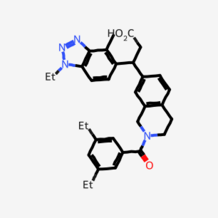 CCc1cc(CC)cc(C(=O)N2CCc3ccc(C(CC(=O)O)c4ccc5c(nnn5CC)c4C)cc3C2)c1